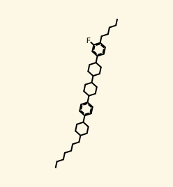 CCCCCCCC1CCC(c2ccc(C3CCC(C4CCC(c5ccc(CCCCC)c(F)c5)CC4)CC3)cc2)CC1